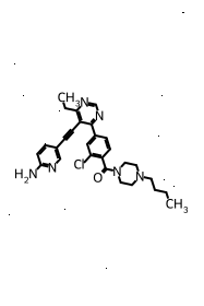 CCCCN1CCN(C(=O)c2ccc(-c3ncnc(CC)c3C#Cc3ccc(N)nc3)cc2Cl)CC1